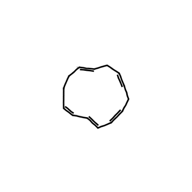 [C]1=C/C/C=C\C\C=C/C=C/C=C\CC/1